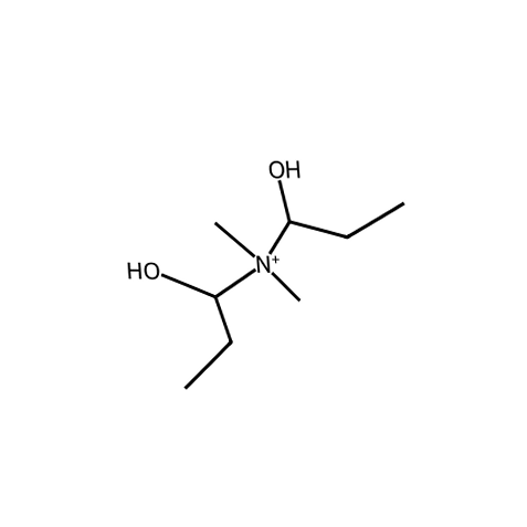 CCC(O)[N+](C)(C)C(O)CC